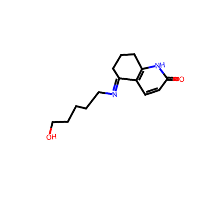 O=c1ccc2c([nH]1)CCC/C2=N\CCCCCO